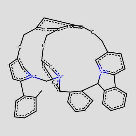 Cc1ccccc1-c1ccc2c[n+]1C[n+]1cc3ccc1-c1ccccc1C1c4ccccc4-c4ccc(c[n+]41)CCc1cc(cc(c1)CC3)CC2